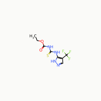 CCOC(=O)NC(=S)Nc1[nH]ncc1C(F)(F)F